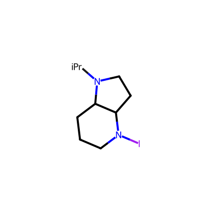 CC(C)N1CCC2C1CCCN2I